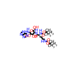 CC(C)(C)OC(=O)NCCCC[C@@H](NC(=O)OC(C)(C)C)C(=O)N[C@@H]1[C@@H](O)[C@H](O)[C@@H](Nc2ncnc3nc[nH]c23)O[C@H]1CO